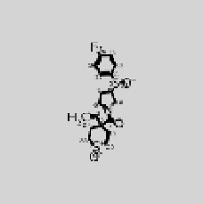 C=CC1(C(=O)N2CCC([S+]([O-])c3ccc(F)cc3)C2)CC[S+]([O-])CC1